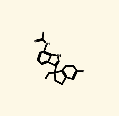 CCC1(c2c[nH]c3c(NC(C)=O)cccc23)CCc2cc(F)ccc21